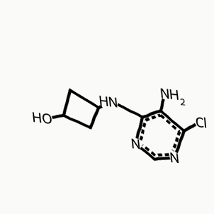 Nc1c(Cl)ncnc1NC1CC(O)C1